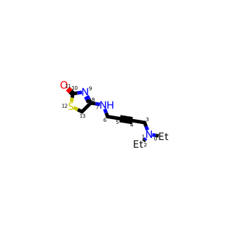 CCN(CC)CC#CCNC1=NC(=O)SC1